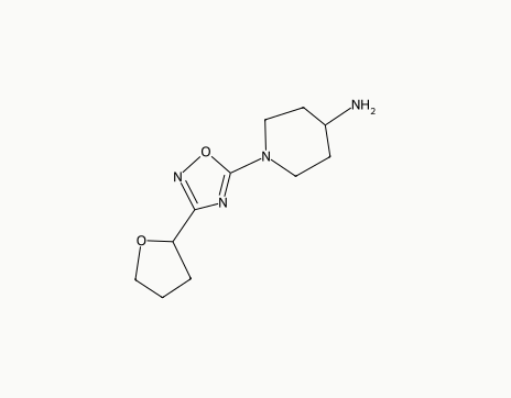 NC1CCN(c2nc(C3CCCO3)no2)CC1